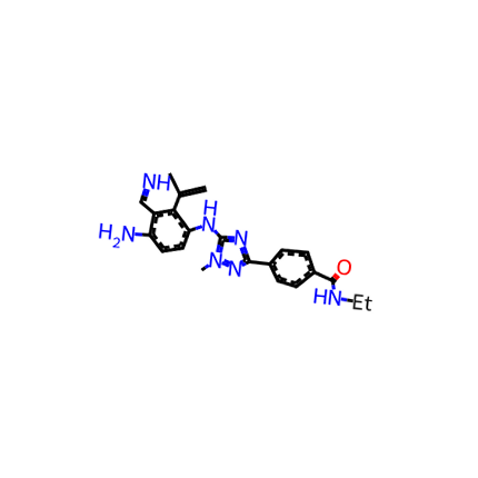 C=C(C)c1c(Nc2nc(-c3ccc(C(=O)NCC)cc3)nn2C)ccc(N)c1C=N